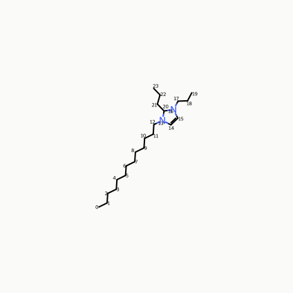 CCCCCCCCCCCCCN1C=CN(CCC)C1CCC